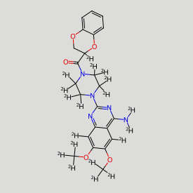 [2H]c1c(OC([2H])([2H])[2H])c(OC([2H])([2H])[2H])c([2H])c2c(N([2H])[2H])nc(N3C([2H])([2H])C([2H])([2H])N(C(=O)C4([2H])COc5ccccc5O4)C([2H])([2H])C3([2H])[2H])nc12